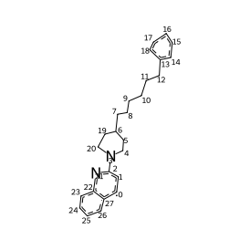 [c]1cc(N2CCC(CCCCCCc3ccccc3)CC2)nc2ccccc12